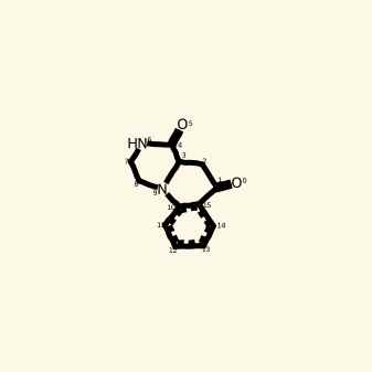 O=C1CC2C(=O)NCCN2c2ccccc21